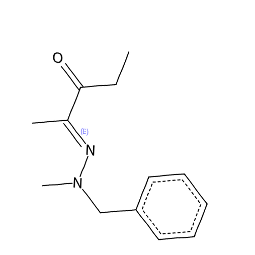 CCC(=O)/C(C)=N/N(C)Cc1ccccc1